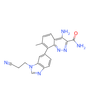 Cc1ccc2c(N)c(C(N)=O)nnc2c1-c1ccc2ncn(CCC#N)c2c1